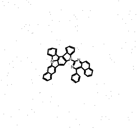 c1ccc(-c2nc(-n3c4ccccc4c4c5c6ccccc6n6c7cc8ccccc8cc7c(cc43)c56)nc3ccc4ccccc4c23)cc1